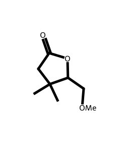 COCC1OC(=O)CC1(C)C